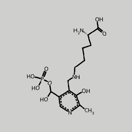 Cc1ncc(C(O)OP(=O)(O)O)c(CNCCCC[C@H](N)C(=O)O)c1O